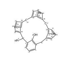 CCCC1c2cccc(c2O)Cc2cccc(c2O)Cc2cccc(c2O)Cc2cccc1c2O